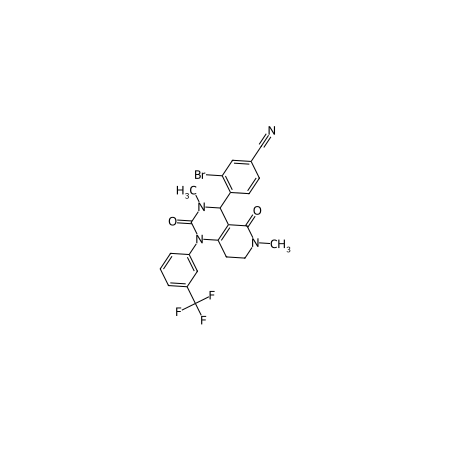 CN1CCC2=C(C1=O)C(c1ccc(C#N)cc1Br)N(C)C(=O)N2c1cccc(C(F)(F)F)c1